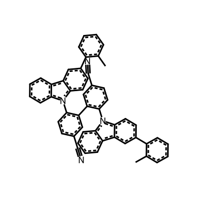 Cc1ccccc1-c1ccc2c(c1)c1ccccc1n2-c1ccc(C#N)cc1-c1cc(C#N)ccc1-n1c2ccccc2c2cc(-c3ccccc3C)ccc21